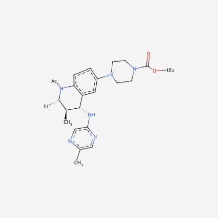 CC[C@H]1[C@H](C)[C@@H](Nc2cnc(C)cn2)c2cc(N3CCN(C(=O)OC(C)(C)C)CC3)ccc2N1C(C)=O